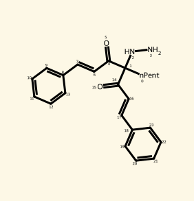 CCCCCC(NN)(C(=O)C=Cc1ccccc1)C(=O)C=Cc1ccccc1